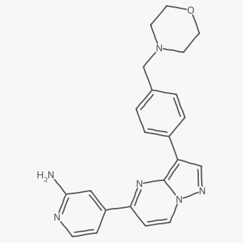 Nc1cc(-c2ccn3ncc(-c4ccc(CN5CCOCC5)cc4)c3n2)ccn1